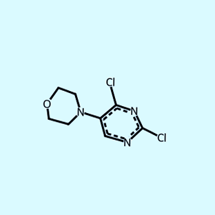 Clc1ncc(N2CCOCC2)c(Cl)n1